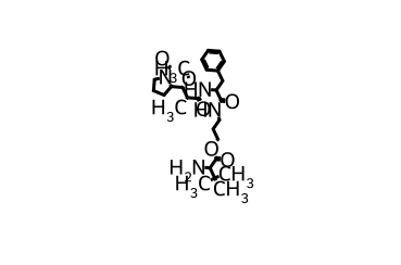 COC(C(C)C(=O)NC(Cc1ccccc1)C(=O)NCCCOC(=O)C(N)C(C)(C)C)C1CCCN1C=O